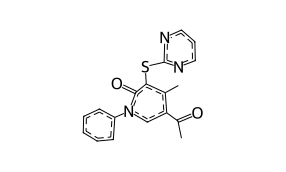 CC(=O)c1cn(-c2ccccc2)c(=O)c(Sc2ncccn2)c1C